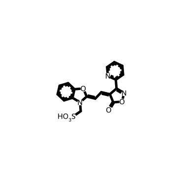 O=C1ON=C(c2ccccn2)/C1=C/C=C1\Oc2ccccc2N1CS(=O)(=O)O